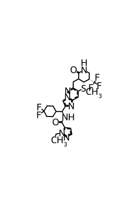 CCn1nccc1C(=O)N[C@H](c1cn2nc(CC3C[C@@H](C(F)(F)F)CNC3=O)c(SC)cc2n1)C1CCC(F)(F)CC1